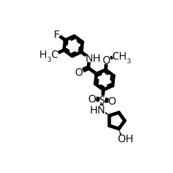 COc1ccc(S(=O)(=O)N[C@@H]2CC[C@H](O)C2)cc1C(=O)Nc1ccc(F)c(C)c1